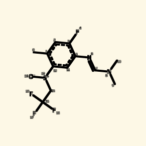 Cc1cc(F)c(/N=C/N(C)C)cc1[S+]([O-])CC(F)(F)F